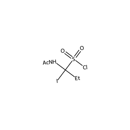 CCC(I)(NC(C)=O)S(=O)(=O)Cl